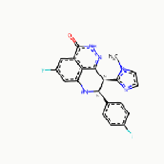 Cn1ccnc1[C@@H]1c2n[nH]c(=O)c3cc(F)cc(c23)N[C@@H]1c1ccc(F)cc1